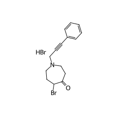 Br.O=C1CCN(CC#Cc2ccccc2)CCC1Br